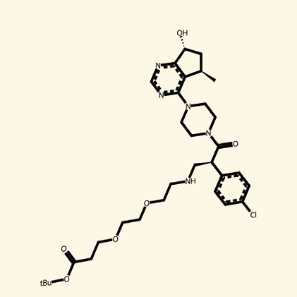 C[C@@H]1C[C@@H](O)c2ncnc(N3CCN(C(=O)[C@H](CNCCOCCOCCC(=O)OC(C)(C)C)c4ccc(Cl)cc4)CC3)c21